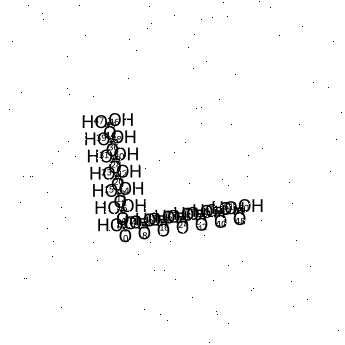 O=C(O)O.O=C(O)O.O=C(O)O.O=C(O)O.O=C(O)O.O=C(O)O.O=C(O)O.O=C(O)O.O=C(O)O.O=C(O)O.O=C(O)O.O=C(O)O.O=C(O)O